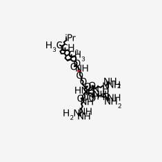 CC(C)CCCC(C)C1CCC2C3CC=C4CC(OC(=O)NCCOCCOCC(=O)NC(COC(=O)NCCCNC(=N)N)(COC(=O)NCCCNC(=N)N)COC(=O)NCCCNC(=N)N)CCC4(C)C3CCC12C